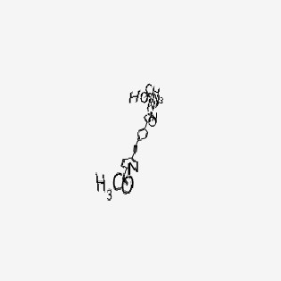 CC(=O)c1ccc(C#Cc2ccc(-c3cc(Cn4ccnc4[C@H](C)O)no3)cc2)cn1